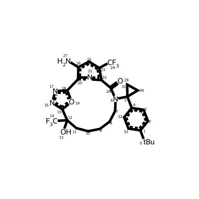 CC(C)(C)c1ccc(C2(N3CCCCCC(O)(C(F)(F)F)c4nnc(o4)-c4nc(c(C(F)(F)F)cc4N)C3=O)CC2)cc1